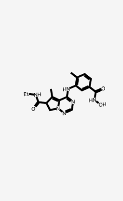 CCNC(=O)C1CN2N=CN=C(Nc3cc(C(=O)NO)ccc3C)C2=C1C